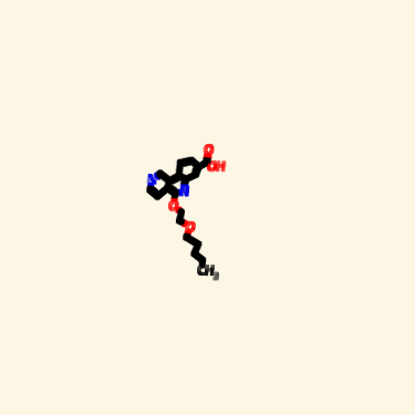 CCCCCOCCOc1nc2cc(C(=O)O)ccc2c2cnccc12